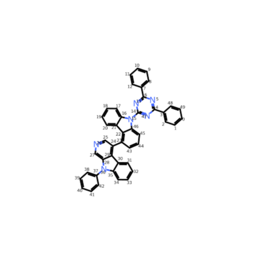 c1ccc(-c2nc(-c3ccccc3)nc(-n3c4ccccc4c4c(-c5cncc6c5c5ccccc5n6-c5ccccc5)cccc43)n2)cc1